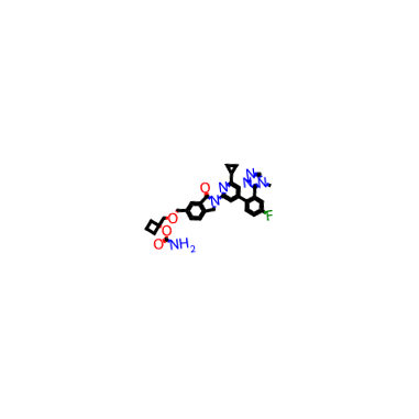 Cn1cnnc1-c1cc(F)ccc1-c1cc(C2CC2)nc(N2Cc3ccc(COCC4(OC(N)=O)CCC4)cc3C2=O)c1